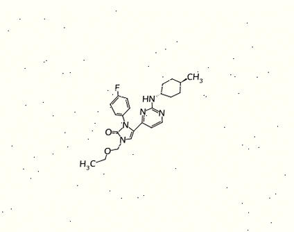 CCOCn1cc(-c2ccnc(N[C@H]3CC[C@H](C)CC3)n2)n(-c2ccc(F)cc2)c1=O